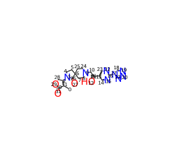 CC1=C(N2CCC3(CCN(C[C@H](O)c4cnc(-n5cnnn5)nc4)CC3)C2=O)COC1=O